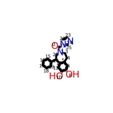 O=C(N1CCc2cc(O)c(O)cc2C(c2ccccc2)C1)n1ccnc1